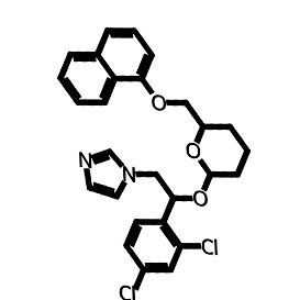 Clc1ccc(C(Cn2ccnc2)OC2CCCC(COc3cccc4ccccc34)O2)c(Cl)c1